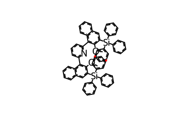 COc1c([Si](c2ccccc2)(c2ccccc2)c2ccccc2)cc2ccccc2c1-c1cccc(-c2c(OC)c([Si](c3ccccc3)(c3ccccc3)c3ccccc3)cc3ccccc23)n1